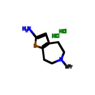 CCCN1CCc2cc(N)sc2CC1.Cl.Cl